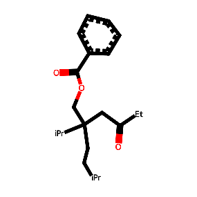 CCC(=O)CC(CCC(C)C)(COC(=O)c1ccccc1)C(C)C